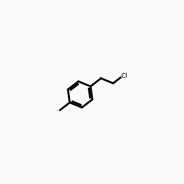 [CH2]c1ccc([CH]CCl)cc1